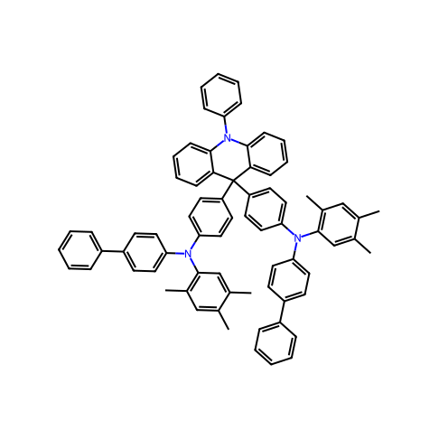 Cc1cc(C)c(N(c2ccc(-c3ccccc3)cc2)c2ccc(C3(c4ccc(N(c5ccc(-c6ccccc6)cc5)c5cc(C)c(C)cc5C)cc4)c4ccccc4N(c4ccccc4)c4ccccc43)cc2)cc1C